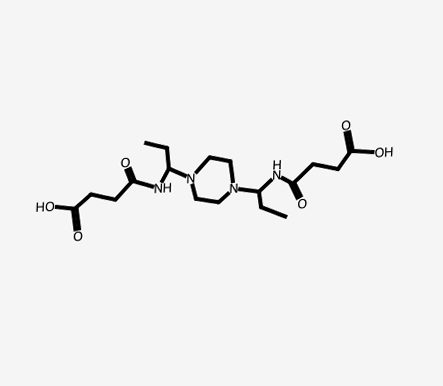 CCC(NC(=O)CCC(=O)O)N1CCN(C(CC)NC(=O)CCC(=O)O)CC1